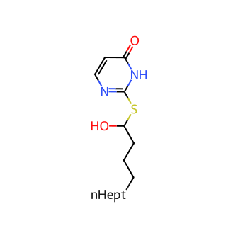 CCCCCCCCCCC(O)Sc1nccc(=O)[nH]1